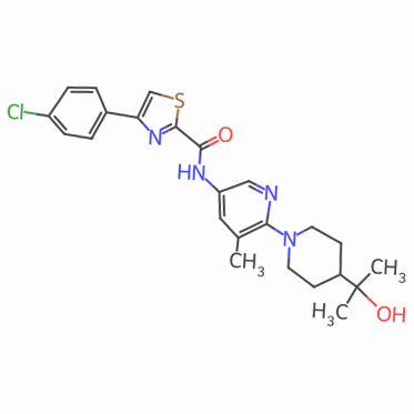 Cc1cc(NC(=O)c2nc(-c3ccc(Cl)cc3)cs2)cnc1N1CCC(C(C)(C)O)CC1